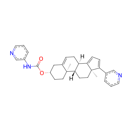 C[C@]12CC[C@H]3[C@@H](CC=C4C[C@@H](OC(=O)Nc5cccnc5)CC[C@@]43C)C1=CC=C2c1cccnc1